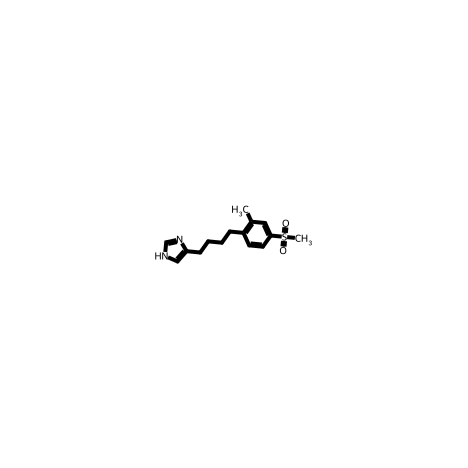 Cc1cc(S(C)(=O)=O)ccc1CCCCc1c[nH]cn1